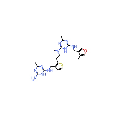 Cc1cocc1CNC1=NC(C)N=C(N(C)CCc2sccc2CNC2=NC(C)N=C(N)N2)N1